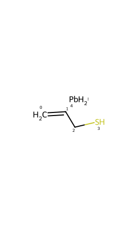 C=CCS.[PbH2]